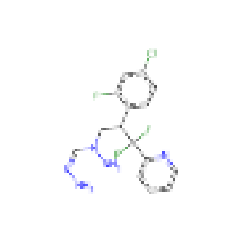 N/N=C\N(N)CC(c1ccc(Cl)cc1F)C(F)(F)c1ccccn1